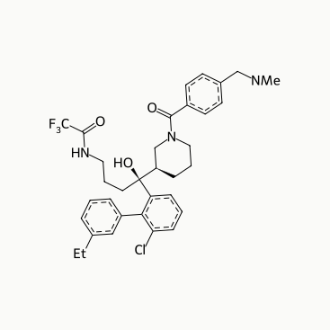 CCc1cccc(-c2c(Cl)cccc2[C@](O)(CCCNC(=O)C(F)(F)F)[C@@H]2CCCN(C(=O)c3ccc(CNC)cc3)C2)c1